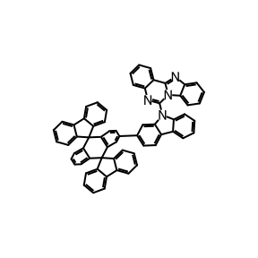 c1ccc2c(c1)-c1ccccc1C21c2ccccc2C2(c3ccccc3-c3ccccc32)c2cc(-c3ccc4c5ccccc5n(-c5nc6ccccc6c6nc7ccccc7n56)c4c3)ccc21